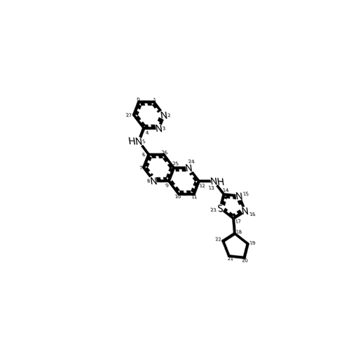 c1cnnc(Nc2cnc3ccc(Nc4nnc(C5CCCC5)s4)nc3c2)c1